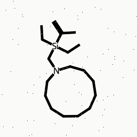 C=C(C)[Si](CC)(CC)CN1CCCCCCCCCC1